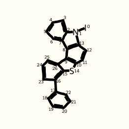 In1c2ccccc2c2c3c(ccc21)sc1c(-c2ccccc2)cccc13